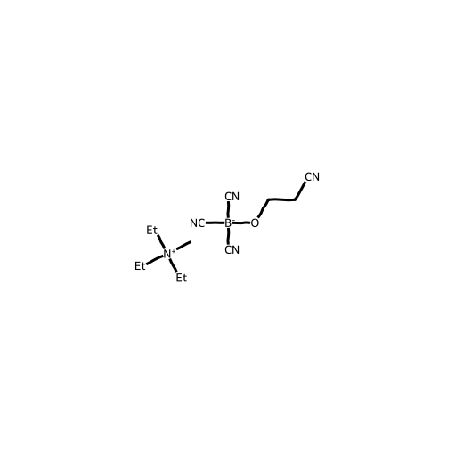 CC[N+](C)(CC)CC.N#CCCO[B-](C#N)(C#N)C#N